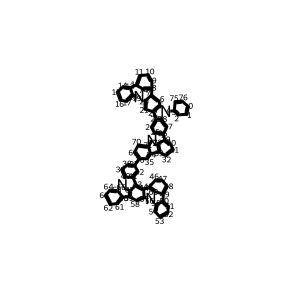 c1ccc(-n2c3cc4c5cccc6c7ccccc7n(c4cc3c3cc4c(cc32)c2cccc3c7cc(-c8ccc9c(c8)c8c%10c%11cccc%12c%13ccccc%13n(c%10cc%10c%13ccccc%13n9c%108)c%12%11)ccc7n4c32)c65)cc1